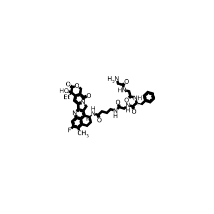 CC[C@@]1(O)C(=O)OCc2c1cc1n(c2=O)Cc2c-1nc1cc(F)c(C)c3c1c2[C@@H](NC(=O)CCCNC(=O)CNC(=O)[C@H](Cc1ccccc1)NC(=O)CNC(=O)CN)CC3